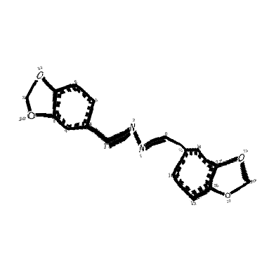 C(=N\N=C\c1ccc2c(c1)OCO2)/c1ccc2c(c1)OCO2